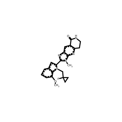 COc1cccc2cc(-c3nc4cc5c(nc4n3C)CCNC5=O)n(CC3(F)CC3)c12